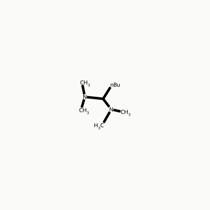 CC[CH]CC(N(C)C)N(C)C